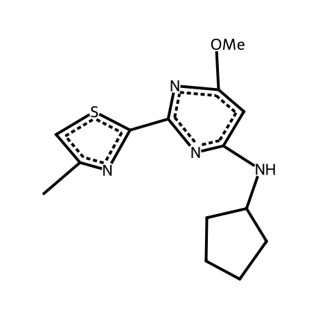 COc1cc(NC2CCCC2)nc(-c2nc(C)cs2)n1